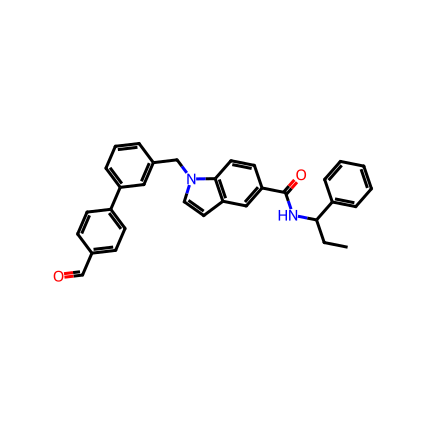 CCC(NC(=O)c1ccc2c(ccn2Cc2cccc(-c3ccc(C=O)cc3)c2)c1)c1ccccc1